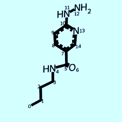 CCCCNC(=O)c1ccc(NN)nc1